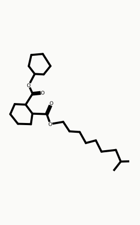 CC(C)CCCCCCCOC(=O)C1CCCCC1C(=O)OC1CCCCC1